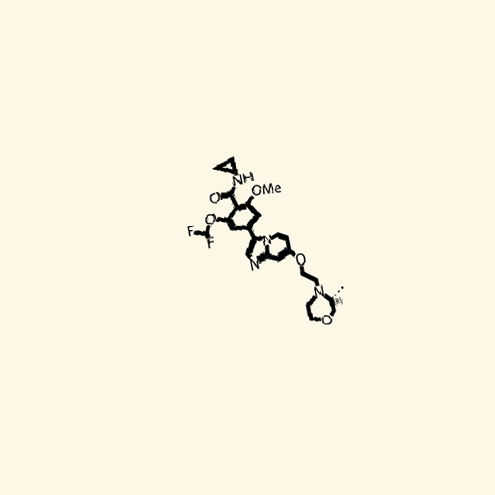 COc1cc(-c2cnc3cc(OCCN4CCOC[C@H]4C)ccn23)cc(OC(F)F)c1C(=O)NC1CC1